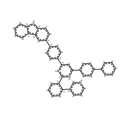 c1ccc(-c2ccc(-c3cc(-c4ccc(-c5ccc6sc7ccccc7c6c5)cc4)nc(-c4ccccc4-c4cccnc4)n3)cc2)cc1